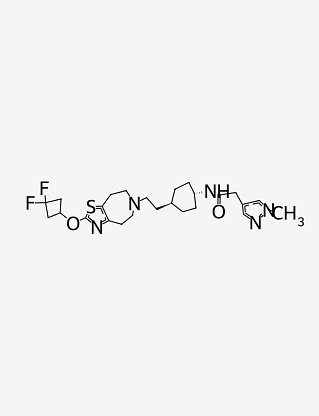 Cn1cc(CC(=O)N[C@H]2CC[C@H](CCN3CCc4nc(OC5CC(F)(F)C5)sc4CC3)CC2)cn1